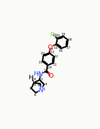 O=C(NC1CN2CC[C@H]1C2)c1ccc(Oc2ccccc2F)cc1